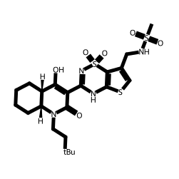 CC(C)(C)CCN1C(=O)C(C2=NS(=O)(=O)c3c(CNS(C)(=O)=O)csc3N2)=C(O)[C@H]2CCCC[C@H]21